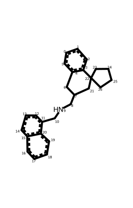 c1ccc2c(c1)CC(CNCc1cccc3ccccc13)CC21CCCC1